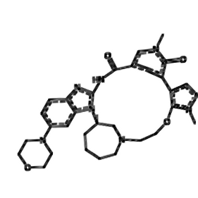 Cn1ncc2c1OCCN1CCCCC(C)(C1)n1c(nc3ccc(N4CCOCC4)cc31)NC(=O)c1cc-2c(=O)n(C)c1